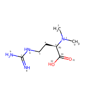 CN(C)[C@H](CCNC(=N)N)C(=O)O